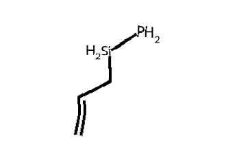 C=CC[SiH2]P